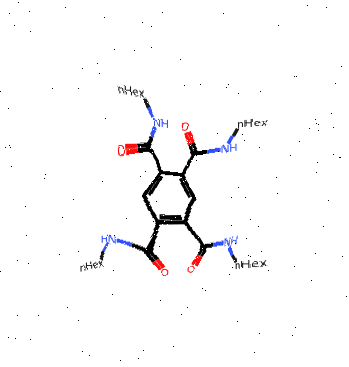 CCCCCCNC(=O)c1cc(C(=O)NCCCCCC)c(C(=O)NCCCCCC)cc1C(=O)NCCCCCC